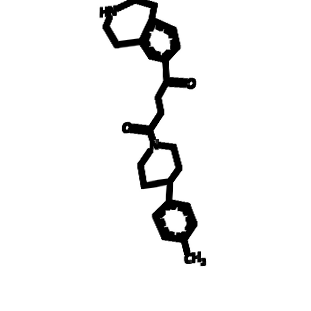 Cc1ccc(C2CCN(C(=O)CCC(=O)c3ccc4c(c3)CCNCC4)CC2)cc1